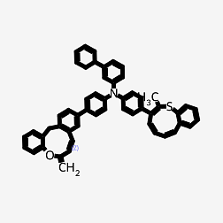 C=C1/C=C\c2cc(-c3ccc(N(c4ccc(-c5ccccc6ccccc6sc5C)cc4)c4cccc(C5C=CC=CC5)c4)cc3)ccc2Cc2ccccc2O1